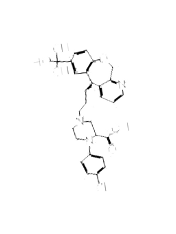 CC(C)(O)c1ccc2c(c1)/C(=C/CCN1CCN(c3ccc(Cl)cc3)C(C(=O)O)C1)c1cccnc1CO2